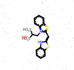 O=S(=O)(O)C(C[n+]1c(C=C2Nc3ccccc3S2)sc2ccccc21)S(=O)(=O)O.[OH-]